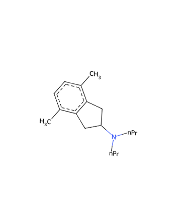 CCCN(CCC)C1Cc2c(C)ccc(C)c2C1